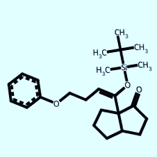 CC(C)(C)[Si](C)(C)O/C(=C/CCOc1ccccc1)C12CCCC1CCC2=O